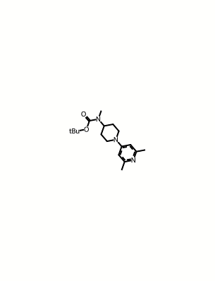 Cc1cc(N2CCC(N(C)C(=O)OC(C)(C)C)CC2)cc(C)n1